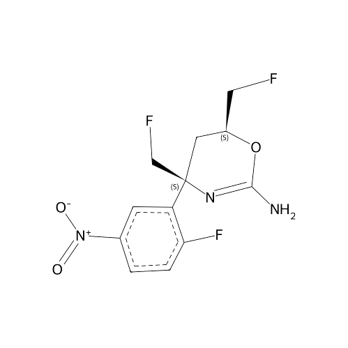 NC1=N[C@](CF)(c2cc([N+](=O)[O-])ccc2F)C[C@@H](CF)O1